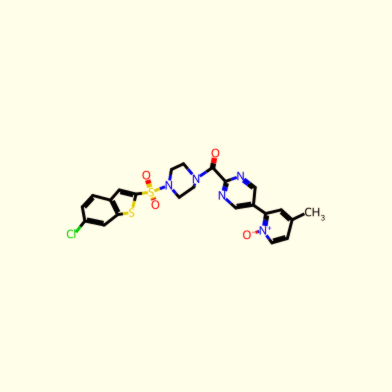 Cc1cc[n+]([O-])c(-c2cnc(C(=O)N3CCN(S(=O)(=O)c4cc5ccc(Cl)cc5s4)CC3)nc2)c1